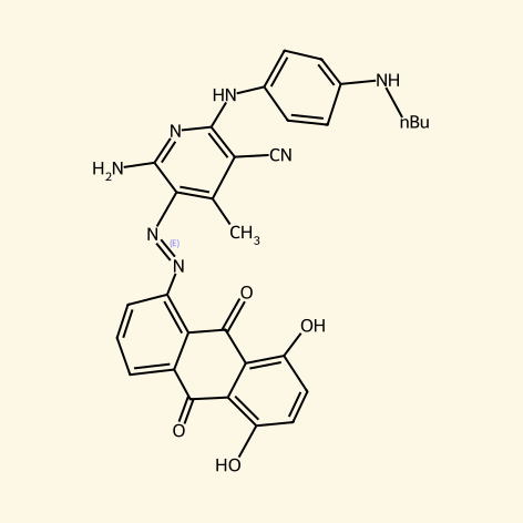 CCCCNc1ccc(Nc2nc(N)c(/N=N/c3cccc4c3C(=O)c3c(O)ccc(O)c3C4=O)c(C)c2C#N)cc1